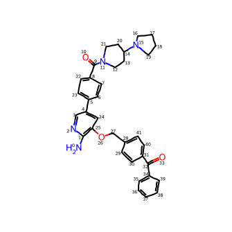 Nc1ncc(-c2ccc(C(=O)N3CCC(N4CCCC4)CC3)cc2)cc1OCc1ccc(C(=O)c2ccccc2)cc1